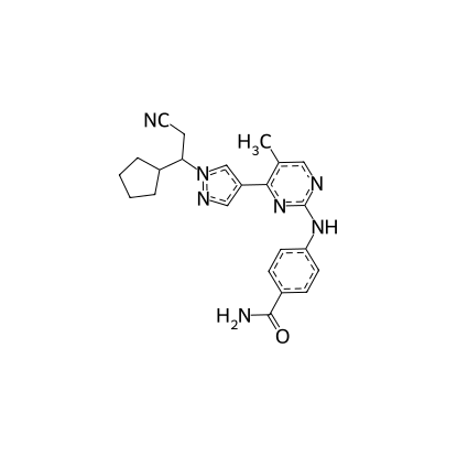 Cc1cnc(Nc2ccc(C(N)=O)cc2)nc1-c1cnn(C(CC#N)C2CCCC2)c1